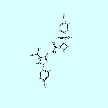 O=C(NCc1cn(-c2ccc(C(F)(F)F)cc2)nc1C(F)F)[C@@H]1CCC1S(=O)(=O)c1ccc(F)cc1